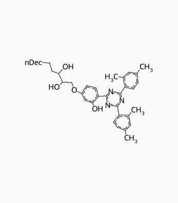 CCCCCCCCCCCCC(O)C(O)COc1ccc(-c2nc(-c3ccc(C)cc3C)nc(-c3ccc(C)cc3C)n2)c(O)c1